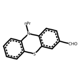 CCCN1c2ccccc2Sc2cc(C=O)ccc21